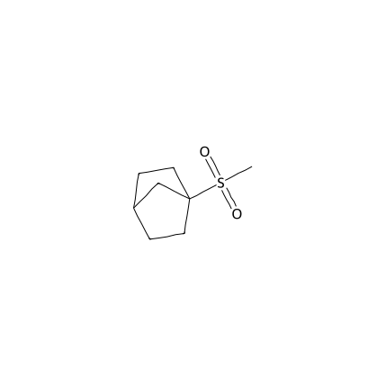 CS(=O)(=O)C12CCC(CC1)C2